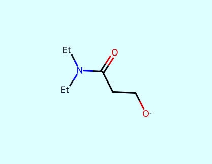 CCN(CC)C(=O)CC[O]